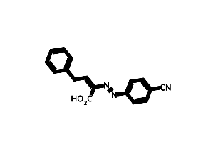 N#Cc1ccc(/N=N/C(=C/Cc2ccccc2)C(=O)O)cc1